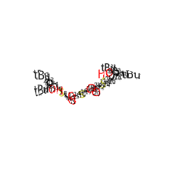 CC(C)(C)c1cc(CCCSCCC(=O)OCCSCCOC(=O)CCSCCCc2cc(C(C)(C)C)cc(C(C)(C)C)c2O)c(O)c(C(C)(C)C)c1